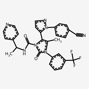 Cc1c(-c2ccnn2-c2ccc(C#N)cc2)n(C(=O)NC(C)c2ccncc2)c(=O)n1-c1cccc(C(F)(F)F)c1